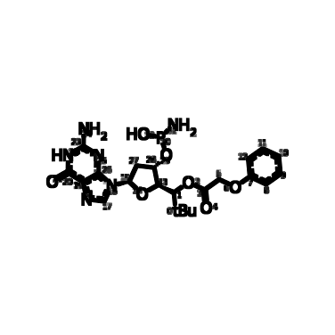 CC(C)(C)C(OC(=O)COc1ccccc1)[C@H]1O[C@@H](n2cnc3c(=O)[nH]c(N)nc32)C[C@@H]1OP(N)O